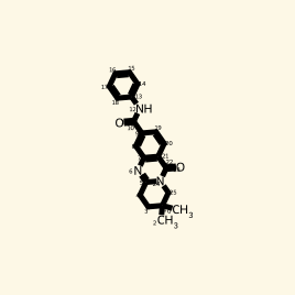 CC1(C)CCc2nc3cc(C(=O)Nc4ccccc4)ccc3c(=O)n2C1